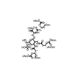 CCCCCCCCCCC[C@H](CC(=O)NCC1C(NC(=O)C[C@@H](CCCCCCCCCCC)OC(=O)CCCCCCCCC)[C@H](OP(=O)(O)O)C(CO)O[C@H]1OC[C@H](NC(=O)C[C@@H](CCCCCCCCCCC)OC(=O)CCCCCCCCC)C(=O)OC)OC(=O)CCCCCCCCC